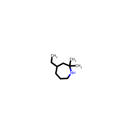 CCC1CCCNC(C)(C)C1